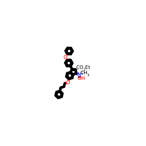 CCOC(=O)C1=C(c2ccc(Oc3ccccc3)cc2)c2ccc(OCCCc3ccccc3)cc2/C1=[N+](/C)O